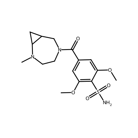 COc1cc(C(=O)N2CCN(C)C3CC3C2)cc(OC)c1S(N)(=O)=O